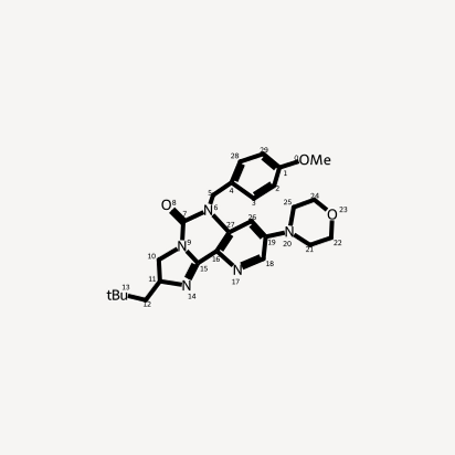 COc1ccc(CN2C(=O)N3CC(CC(C)(C)C)N=C3c3ncc(N4CCOCC4)cc32)cc1